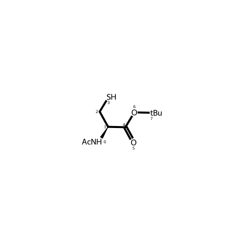 CC(=O)N[C@@H](CS)C(=O)OC(C)(C)C